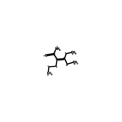 CCCC(C(N)=O)=C(CC)CC